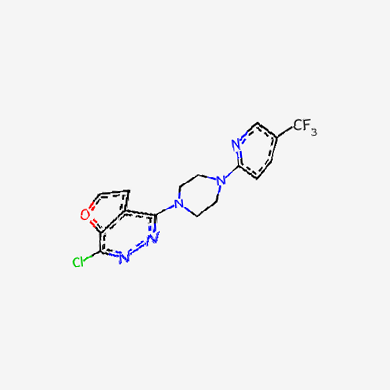 FC(F)(F)c1ccc(N2CCN(c3nnc(Cl)c4occc34)CC2)nc1